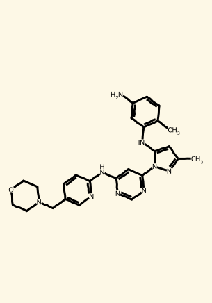 Cc1cc(Nc2cc(N)ccc2C)n(-c2cc(Nc3ccc(CN4CCOCC4)cn3)ncn2)n1